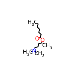 CCCCCCC(=O)OC(C)CCCN(C)C